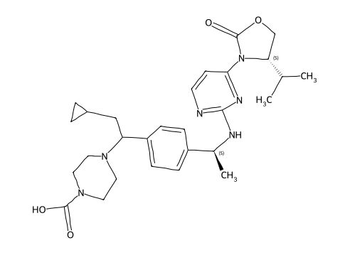 CC(C)[C@H]1COC(=O)N1c1ccnc(N[C@@H](C)c2ccc(C(CC3CC3)N3CCN(C(=O)O)CC3)cc2)n1